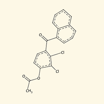 CC(=O)Oc1ccc(C(=O)c2cccc3ccccc23)c(Cl)c1Cl